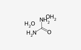 NC(N)=O.O.O